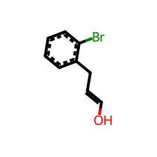 OC=CCc1ccccc1Br